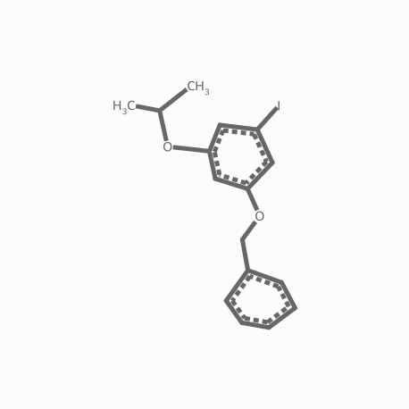 CC(C)Oc1cc(I)cc(OCc2ccccc2)c1